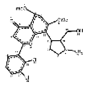 COc1cc(OC)c2c(=O)cc(-c3cccc(Cl)c3Cl)oc2c1C1CCN(C)C1CO